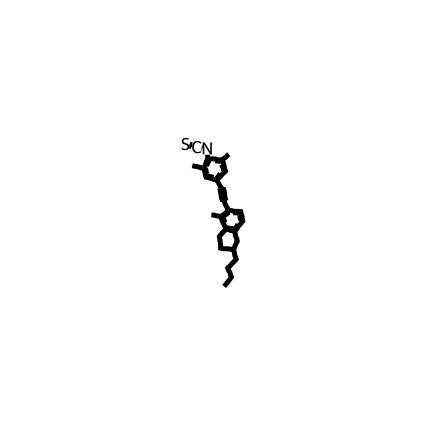 CCCCC1CCc2c(ccc(C#Cc3cc(C)c(N=C=S)c(C)c3)c2C)C1